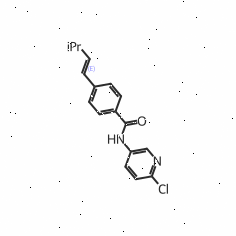 CC(C)/C=C/c1ccc(C(=O)Nc2ccc(Cl)nc2)cc1